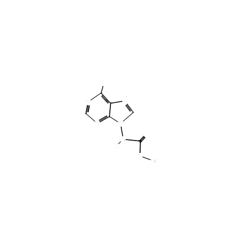 NNC(=O)N(N)n1cnc2c(Cl)ncnc21